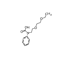 CCOCCOCCN(C(=O)O)c1ccccc1